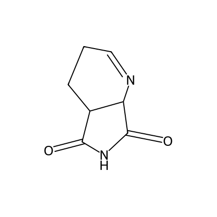 O=C1NC(=O)C2N=CCCC12